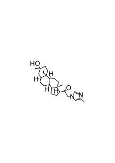 CC[C@]12CC[C@@](C)(O)C[C@@H]1CC[C@H]1[C@@H]3CC[C@H](C(=O)Cn4cnc(C)c4)[C@@]3(C)CC[C@@H]12